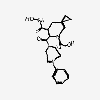 O=C(NO)C1CC2(CC2)CN(C(=O)O)C1C(=O)N1CCN(c2ccccc2)CC1